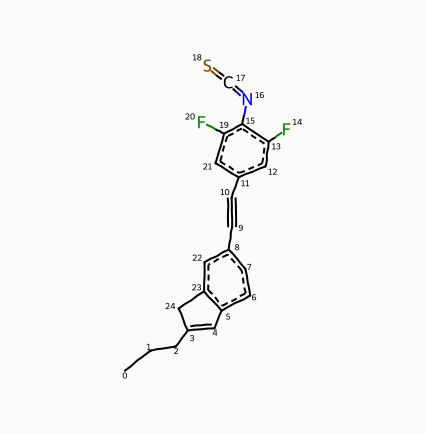 CCCC1=Cc2ccc(C#Cc3cc(F)c(N=C=S)c(F)c3)cc2C1